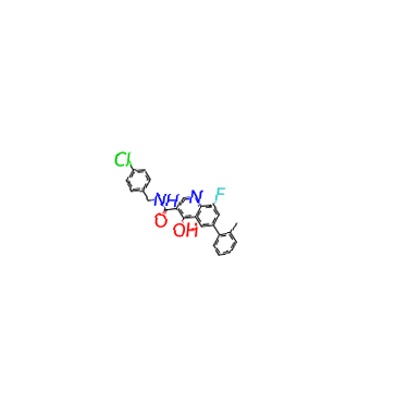 Cc1ccccc1-c1cc(F)c2ncc(C(=O)NCc3ccc(Cl)cc3)c(O)c2c1